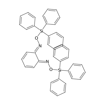 C1=CC(=NO[Si](c2ccccc2)(c2ccccc2)c2ccccc2)C(=NO[Si](c2ccccc2)(c2ccccc2)c2ccccc2)C=C1